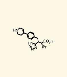 CC(C)C(C(=O)O)[C@H](Cc1ccc(C2=CCNCC2)cc1)c1nnn[nH]1